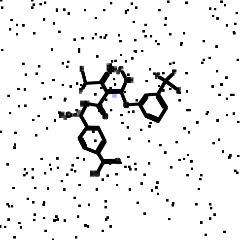 CN/C(Oc1cccc(C(F)(F)F)c1)=C(\C(=N)C(F)F)C(=O)N[C@@H](C)c1ccc(C(=O)O)cc1